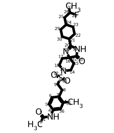 CC(=O)Nc1ccc(CCS(=O)(=O)N2CCC3(CC2)N=C(C2CCC(CC(C)F)CC2)NC3=O)c(C)c1